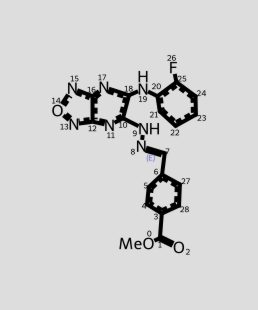 COC(=O)c1ccc(/C=N/Nc2nc3nonc3nc2Nc2ccccc2F)cc1